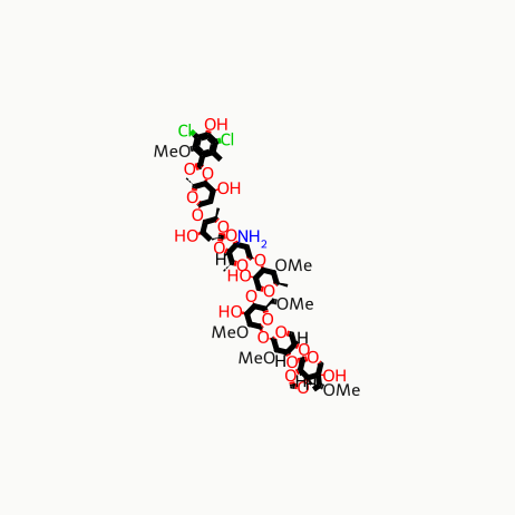 COC[C@H]1O[C@@H](O[C@@H]2OC[C@@H]3O[C@@]4(OC[C@@](O)(C(C)OC)[C@@H]5OCO[C@H]54)O[C@H]3[C@H]2OC)[C@@H](OC)[C@@H](O)[C@@H]1O[C@@H]1O[C@H](C)[C@H](OC)[C@H](O[C@H]2C[C@@]3(N)O[C@@]4(C[C@@H](O)[C@H](O[C@H]5C[C@@H](O)[C@H](OC(=O)c6c(C)c(Cl)c(O)c(Cl)c6OC)[C@@H](C)O5)[C@@H](C)O4)O[C@@H]3[C@@H](C)O2)[C@H]1O